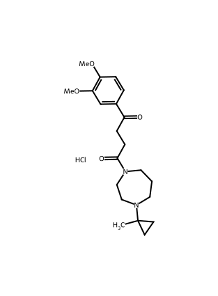 COc1ccc(C(=O)CCC(=O)N2CCCN(C3(C)CC3)CC2)cc1OC.Cl